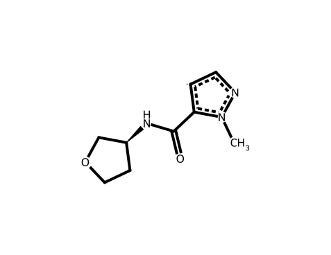 Cn1nc[c]c1C(=O)N[C@H]1CCOC1